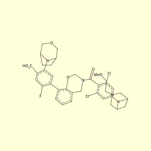 COCCN1CC2CC(C1)N2c1cc(Cl)c(C(=O)N2COc3c(cccc3-c3cc(N4C5CCC4COC5)c(C(=O)O)cc3F)C2)c(Cl)c1